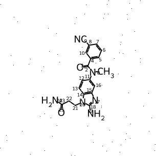 CN(C(=O)c1cccc(C#N)c1)c1ccc2c(c1)nc(N)n2CCC(N)=O